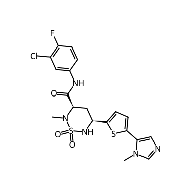 CN1[C@@H](C(=O)Nc2ccc(F)c(Cl)c2)C[C@@H](c2ccc(-c3cncn3C)s2)NS1(=O)=O